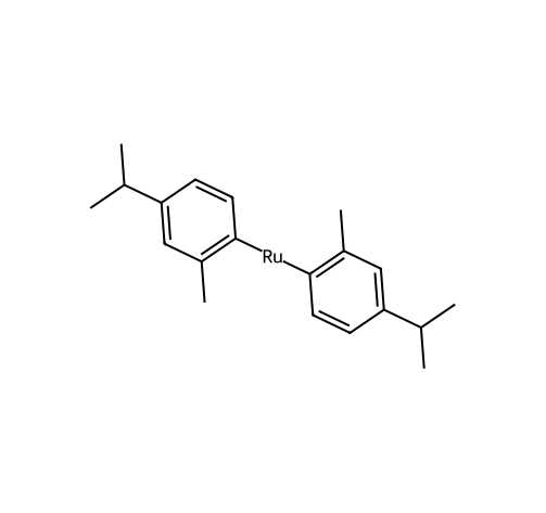 Cc1cc(C(C)C)cc[c]1[Ru][c]1ccc(C(C)C)cc1C